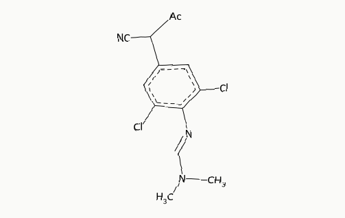 CC(=O)C(C#N)c1cc(Cl)c(/N=C/N(C)C)c(Cl)c1